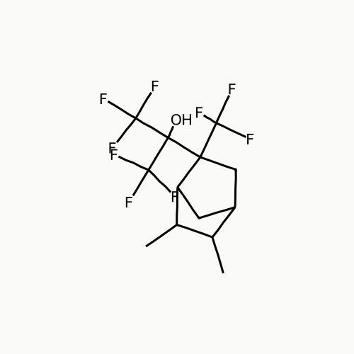 CC1C2CC(C1C)C(C(F)(F)F)(C(O)(C(F)(F)F)C(F)(F)F)C2